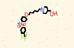 CN(c1ccc(OCCCCCCN2CCC(CO)CC2)cc1)S(=O)(=O)c1ccc(C(F)(F)F)cc1